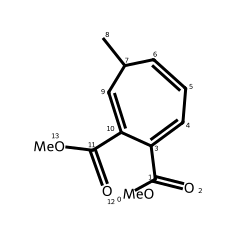 COC(=O)C1=CC=CC(C)C=C1C(=O)OC